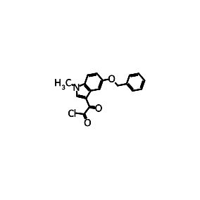 Cn1cc(C(=O)C(=O)Cl)c2cc(OCc3ccccc3)ccc21